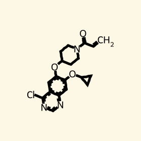 C=CC(=O)N1CCC(Oc2cc3c(Cl)ncnc3cc2OC2CC2)CC1